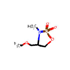 O=C(O)N1C(COC(F)(F)F)COS1(=O)=O